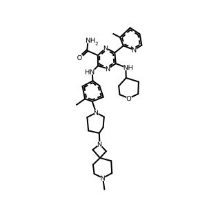 Cc1cc(Nc2nc(NC3CCOCC3)c(-c3ncccc3C)nc2C(N)=O)ccc1N1CCC(N2CC3(CCN(C)CC3)C2)CC1